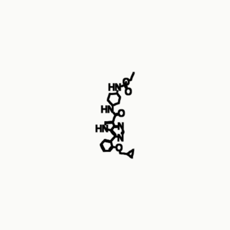 CCOC(=O)N[C@H]1CC[C@H](NC(=O)c2c[nH]c3c(-c4ccccc4OCC4CC4)ncnc23)CC1